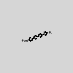 CCCCC[C@H]1CC[C@H]([C@H]2CC[C@H]([C@H]3CC[C@H](c4ncc(CCCC)cn4)CC3)CC2)CC1